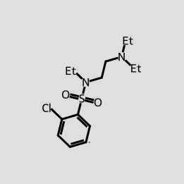 CCN(CC)CCN(CC)S(=O)(=O)c1c[c]ccc1Cl